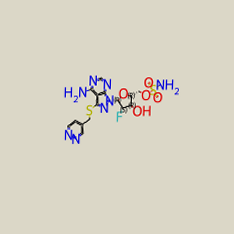 Nc1ncnc2c1c(SCc1ccnnc1)nn2[C@@H]1O[C@H](COS(N)(=O)=O)[C@@H](O)[C@@H]1F